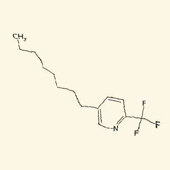 CCCCCCCCc1ccc(C(F)(F)F)nc1